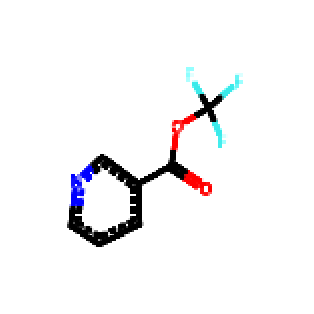 O=C(OC(F)(F)F)c1cccnc1